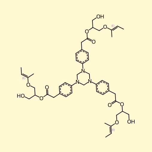 C/C=C(\C)OCC(CO)OC(=O)Cc1ccc(N2CN(c3ccc(CC(=O)OC(CO)CO/C(C)=C/C)cc3)CN(c3ccc(CC(=O)OC(CO)CO/C(C)=C/C)cc3)C2)cc1